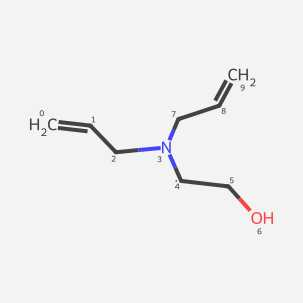 C=CCN([CH]CO)CC=C